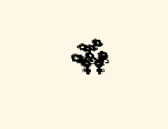 CC(C)(C)c1cc2c3c(c1)C1(C)CCCCC1(C)N3c1cc(N3c4ccc(-c5ccccc5)cc4C4(C)CCCCC34C)cc3c1B2c1cc(C(C)(C)C)cc2c4sc5ccccc5c4n-3c12